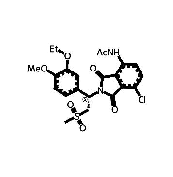 CCOc1cc([C@@H](CS(C)(=O)=O)N2C(=O)c3c(Cl)ccc(NC(C)=O)c3C2=O)ccc1OC